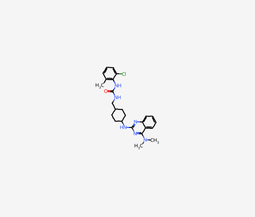 Cc1cccc(Cl)c1NC(=O)NCC1CCC(Nc2nc(N(C)C)c3ccccc3n2)CC1